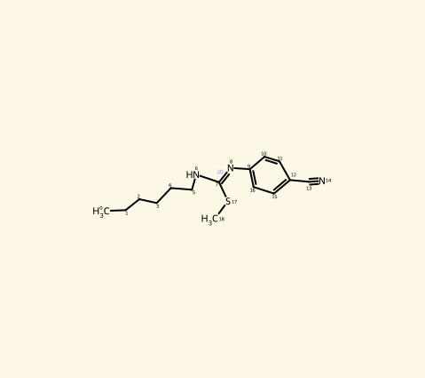 CCCCCCN/C(=N/c1ccc(C#N)cc1)SC